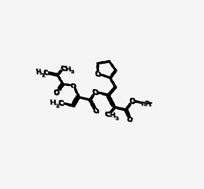 C=C(C)C(=O)OC(=CC)C(=O)OC(CC1CCCO1)=C(C)C(=O)OCCC